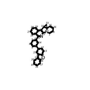 C1=CN2c3nc(-c4cccc(-c5ccc6oc7ccccc7c6c5)c4)c4ccccc4c3C3C[C@]32C=C1